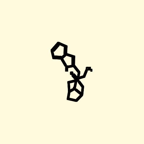 CCC(=O)N1C2CCC1CN(Cc1cc3ccccc3[nH]1)C2